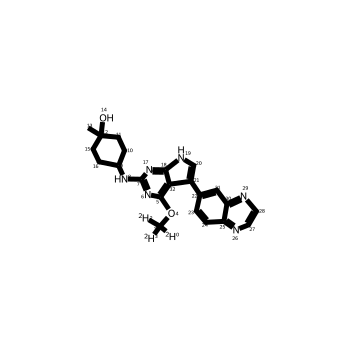 [2H]C([2H])([2H])Oc1nc(NC2CCC(C)(O)CC2)nc2[nH]cc(-c3ccc4nccnc4c3)c12